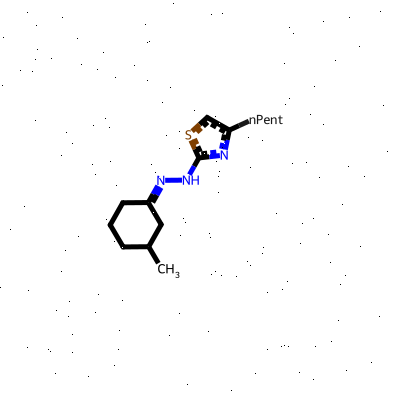 CCCCCc1csc(NN=C2CCCC(C)C2)n1